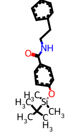 CC(C)(C)[Si](C)(C)Oc1ccc(C(=O)NCCc2ccccc2)cc1